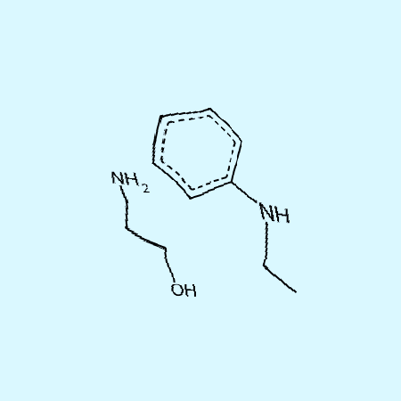 CCNc1ccccc1.NCCO